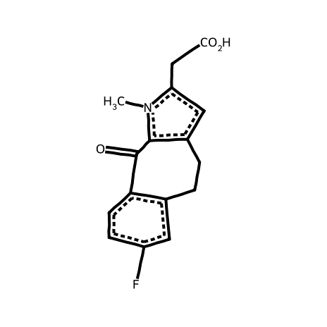 Cn1c(CC(=O)O)cc2c1C(=O)c1ccc(F)cc1CC2